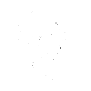 CC(C)(C)[C@H](c1nc(-c2cc(F)ccc2F)nn1Cc1cccc(Br)c1)N(CCC(N)CF)C(=O)c1ccccc1